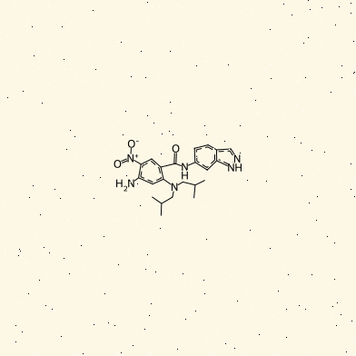 CC(C)CN(CC(C)C)c1cc(N)c([N+](=O)[O-])cc1C(=O)Nc1ccc2cn[nH]c2c1